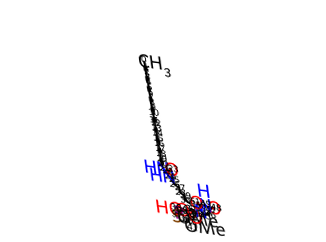 CC#CC#CC#CC#CC#CC#CC#CC#CC#CC#CNC(=O)NCCCC/C=C/C[C@H]1C(OP(O)(=S)OC)[C@@H](COC)O[C@H]1n1ccc(=O)[nH]c1=O